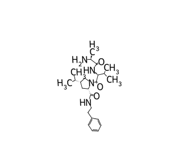 CC(C)[C@H]1C[C@@H](C(=O)NCCc2ccccc2)N(C(=O)[C@@H](NC(=O)[C@H](C)N)C(C)C)C1